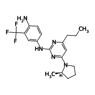 CCCc1cc(N2CCC[C@H]2C)nc(Nc2ccc(N)c(C(F)(F)F)c2)n1